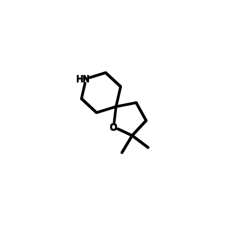 CC1(C)CCC2(CCNCC2)O1